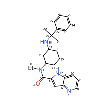 CCN(C(=O)c1cc2ncccc2[nH]1)C1CCCC(NC(C)(C)c2ccccc2)C1